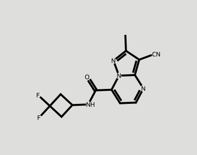 Cc1nn2c(C(=O)NC3CC(F)(F)C3)ccnc2c1C#N